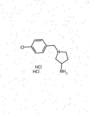 Cl.Cl.NC1CCN(Cc2ccc(Cl)cc2)C1